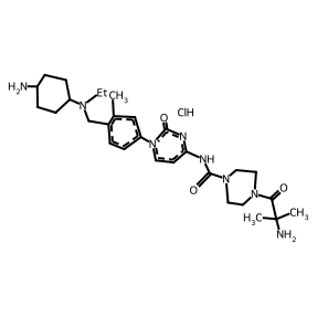 CCN(Cc1ccc(-n2ccc(NC(=O)N3CCN(C(=O)C(C)(C)N)CC3)nc2=O)cc1C)C1CCC(N)CC1.Cl